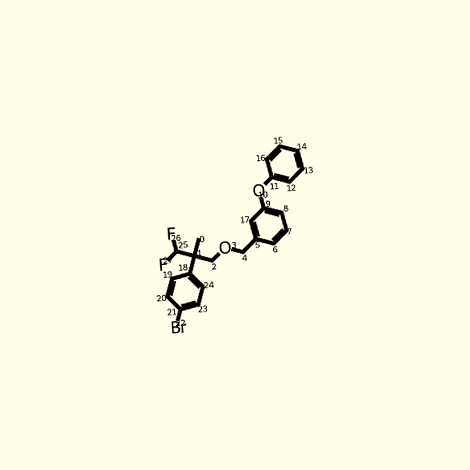 CC(COCc1cccc(Oc2ccccc2)c1)(c1ccc(Br)cc1)C(F)F